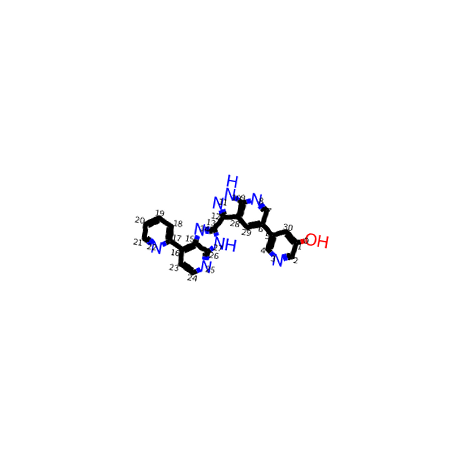 Oc1cncc(-c2cnc3[nH]nc(-c4nc5c(-c6ccccn6)ccnc5[nH]4)c3c2)c1